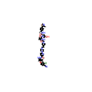 Cc1ncsc1-c1ccc([C@H](C)NC(=O)[C@@H]2C[C@@H](O)CN2C(=O)[C@@H](NC(=O)CN2CCC(CCN3CCN(c4ccc(C(=O)NC5C(C)(C)C(Oc6ccc(C#N)c(Cl)c6)C5(C)C)cn4)CC3)CC2)C(C)(C)C)cc1